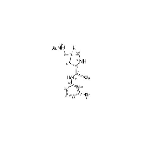 CC(=O)NCC12CC1N[C@H](C(=O)Nc1cccc(Br)n1)C2